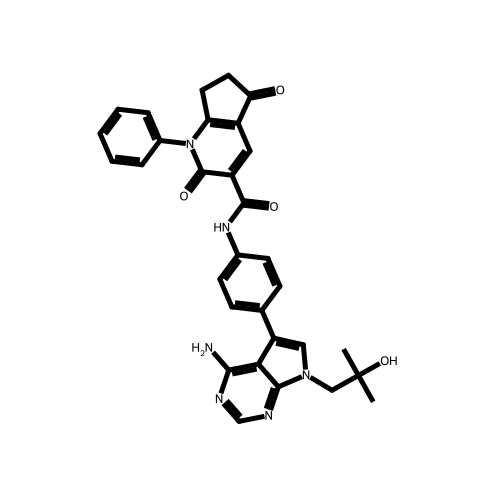 CC(C)(O)Cn1cc(-c2ccc(NC(=O)c3cc4c(n(-c5ccccc5)c3=O)CCC4=O)cc2)c2c(N)ncnc21